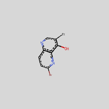 CCc1cnc2ccc(Br)nc2c1O